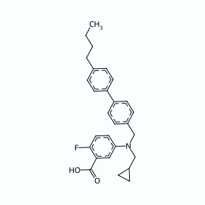 CCCCc1ccc(-c2ccc(CN(CC3CC3)c3ccc(F)c(C(=O)O)c3)cc2)cc1